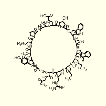 CCCC[C@H]1C(=O)N(C)[C@@H](CCCC)C(=O)N[C@@H](CCCNC(=N)N)C(=O)N[C@H](C(=O)NCC(N)=O)CSCC(=O)N[C@@H](Cc2ccc(O)cc2)C(=O)N(C)[C@@H](C)C(=O)N[C@@H](CCN)C(=O)N2CCC[C@H]2C(=O)N[C@@H](CO)C(=O)N[C@@H](CCC(=O)O)C(=O)N2C[C@H](O)C[C@H]2C(=O)C[C@@H](Cc2c[nH]c3ccccc23)C(=O)N[C@@H](CO)C(=O)N[C@@H](Cc2c[nH]c3ccccc23)C(=O)N1C